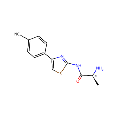 C[C@H](N)C(=O)Nc1nc(-c2ccc(C#N)cc2)cs1